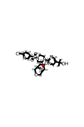 CC(C)(O)c1cnc(N2CCN(S(=O)(=O)c3ccc(Cl)nc3)C[C@@H]2CN2C3COCC2CC(=O)C3)nc1